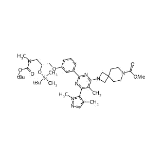 COC(=O)N1CCC2(CC1)CN(c1nc(-c3cccc(OC[C@@H](CN(C)C(=O)OC(C)(C)C)O[Si](C)(C)C(C)(C)C)c3)nc(-c3c(C)cnn3C)c1C)C2